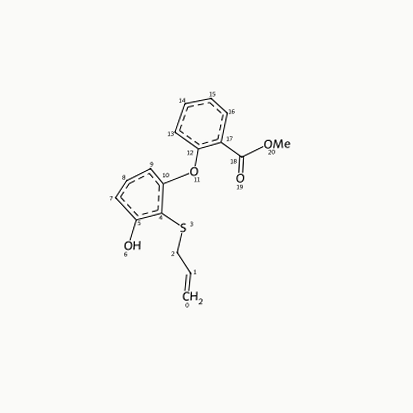 C=CCSc1c(O)cccc1Oc1ccccc1C(=O)OC